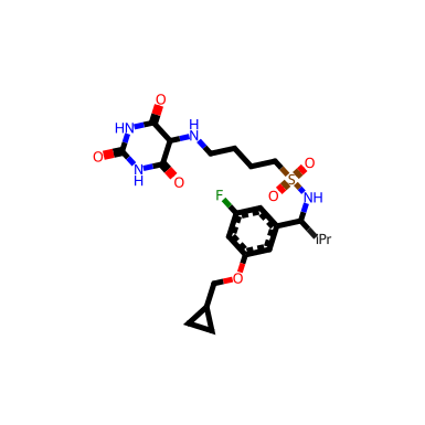 CC(C)C(NS(=O)(=O)CCCCNC1C(=O)NC(=O)NC1=O)c1cc(F)cc(OCC2CC2)c1